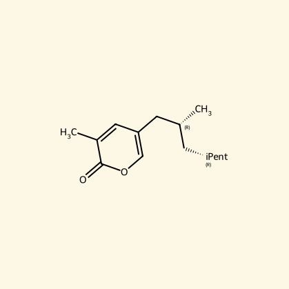 CCC[C@@H](C)C[C@@H](C)Cc1coc(=O)c(C)c1